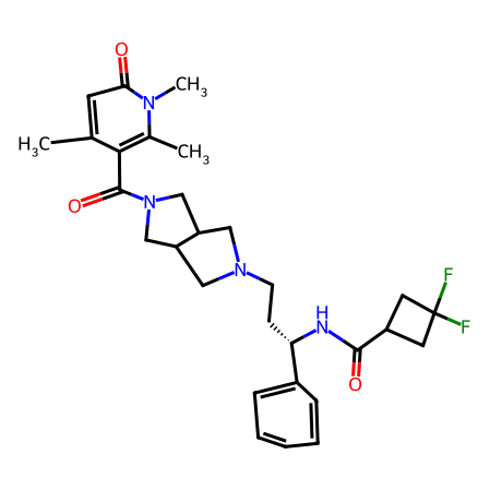 Cc1cc(=O)n(C)c(C)c1C(=O)N1CC2CN(CC[C@H](NC(=O)C3CC(F)(F)C3)c3ccccc3)CC2C1